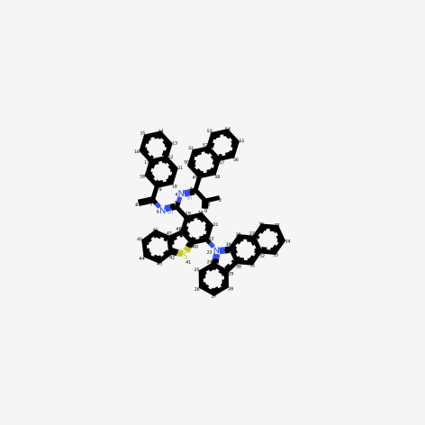 C=C(C)/C(=N\C(=N/C(=C)c1ccc2ccccc2c1)c1ccc(-n2c3ccccc3c3cc4ccccc4cc32)c2sc3ccccc3c12)c1ccc2ccccc2c1